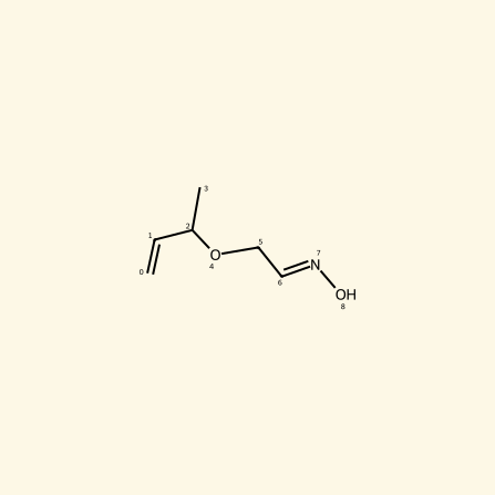 C=CC(C)OCC=NO